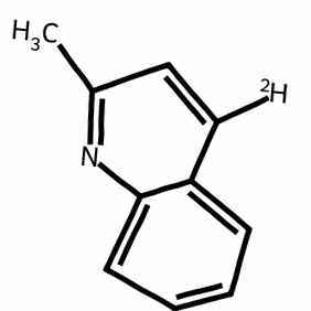 [2H]c1cc(C)nc2ccccc12